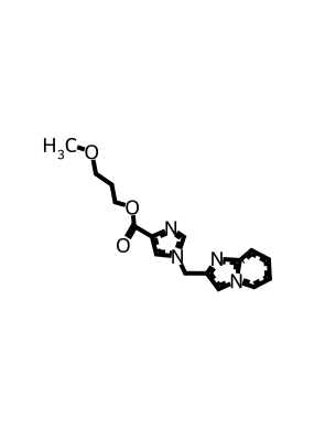 COCCCOC(=O)c1cn(Cc2cn3ccccc3n2)cn1